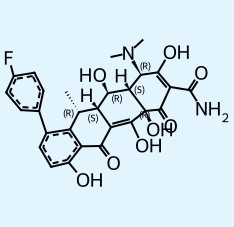 C[C@H]1c2c(-c3ccc(F)cc3)ccc(O)c2C(=O)C2=C(O)[C@@]3(O)C(=O)C(C(N)=O)=C(O)[C@H](N(C)C)[C@H]3[C@H](O)[C@H]21